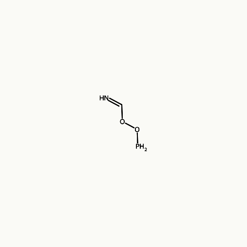 N=COOP